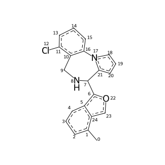 Cc1cccc2c(C3NCc4c(Cl)cccc4-n4cccc43)occ12